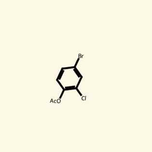 CC(=O)Oc1ccc(Br)cc1Cl